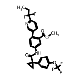 CCC(F)(F)c1ccc(-c2ccc(NC(=O)C3(c4ccc(OC(F)(F)F)cc4)CC3)cc2C(=O)OC)cn1